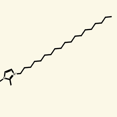 CCCCCCCCCCCCCCCCCCC[n+]1ccn(C(C)C)c1C